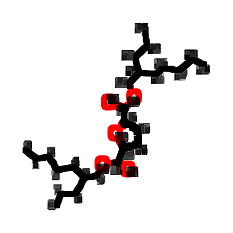 CCCCCC(CCC)COC(=O)c1ccc(C(=O)OCC(CCC)CCCCC)o1